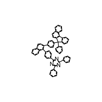 c1ccc(-c2nc(-c3ccccc3)nc(-c3ccc(-c4c(-c5ccc(C6(c7ccccc7)c7ccccc7-c7c6ccc6ccccc76)cc5)ccc5ccccc45)cc3)n2)cc1